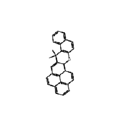 CC1(C)C2=Cc3ccc4cccc5c4c3C(C=C5)C2Oc2ccc3ccccc3c21